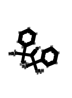 NC(C(=O)O)(C(=O)C(N)(C(=O)O)c1ccccc1)c1ccccc1